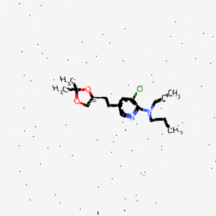 CCCN(CCC)c1ncc(CC[C@H]2COC(C)(C)O2)cc1Cl